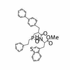 COC(=O)C(Cc1csc2ccccc12)NC(=O)C(Cc1ccc(-c2ccccc2)cc1)CP(O)CCc1ccccc1